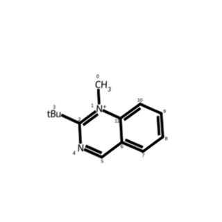 C[n+]1c(C(C)(C)C)ncc2ccccc21